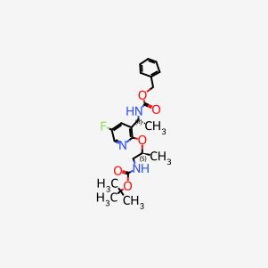 C[C@@H](CNC(=O)OC(C)(C)C)Oc1ncc(F)cc1[C@@H](C)NC(=O)OCc1ccccc1